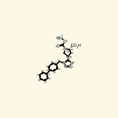 CC(C)(C)OC(=O)N1C[C@H](c2nnnn2Cc2ccc(-c3ccccc3)cc2)C[C@H]1C(=O)O